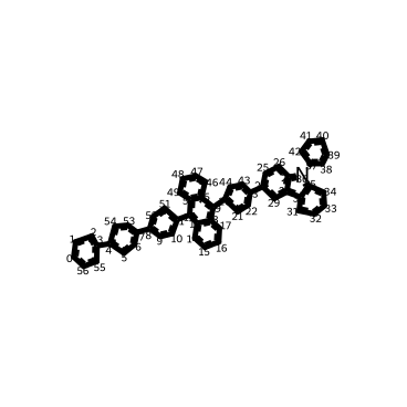 c1ccc(-c2ccc(-c3ccc(-c4c5ccccc5c(-c5ccc(-c6ccc7c(c6)c6ccccc6n7-c6ccccc6)cc5)c5ccccc45)cc3)cc2)cc1